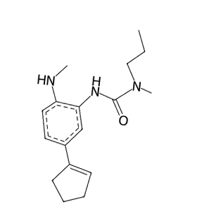 CCCN(C)C(=O)Nc1cc(C2=CCCC2)ccc1NC